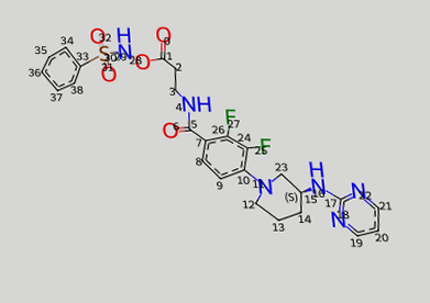 O=C(CCNC(=O)c1ccc(N2CCC[C@H](Nc3ncccn3)C2)c(F)c1F)ONS(=O)(=O)c1ccccc1